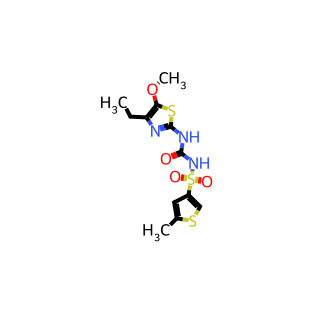 CCc1nc(NC(=O)NS(=O)(=O)c2csc(C)c2)sc1OC